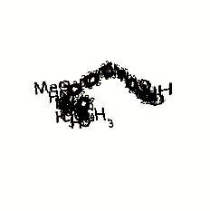 COc1cc(N2CCC(N3CCN(CC4CN(c5ccc(N6CCC(=O)NC6=O)cc5)C4)CC3)CC2)ccc1Nc1ncc(Cl)c(Nc2ccccc2P(C)(C)=O)n1